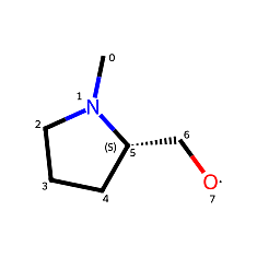 CN1CCC[C@H]1C[O]